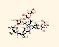 CNC(CCC(=O)NCC(C)(C)CC(C)(C)COC1OC(CO)C(O)C(O)C1NC(C)=O)(CCC(=O)NCC(C)(C)CC(C)(C)COC(OC(CO)[C@@H](C)O)[C@H](CO)NC(C)=O)CCC(=O)NCC(C)(C)CC(C)(C)COC(OC(CO)[C@@H](C)O)[C@H](CO)NC(C)=O